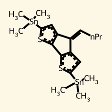 CCCC=C1c2c[c]([Sn]([CH3])([CH3])[CH3])sc2-c2s[c]([Sn]([CH3])([CH3])[CH3])cc21